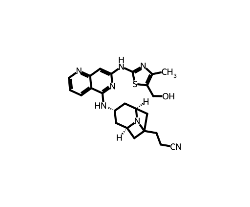 Cc1nc(Nc2cc3ncccc3c(N[C@H]3C[C@@H]4CC5(CCC#N)C[C@H](C3)N45)n2)sc1CO